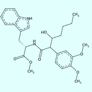 CCCCC(O)C(C(=O)N[C@@H](Cc1c[nH]c2ccccc12)C(=O)OC)c1ccc(OC)c(OC)c1